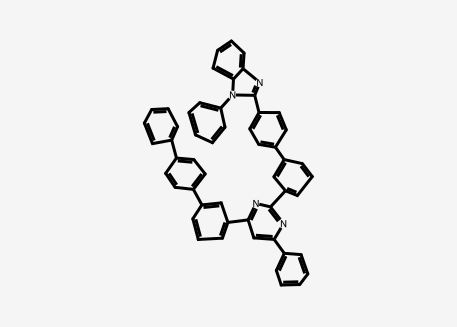 c1ccc(-c2ccc(-c3cccc(-c4cc(-c5ccccc5)nc(-c5cccc(-c6ccc(-c7nc8ccccc8n7-c7ccccc7)cc6)c5)n4)c3)cc2)cc1